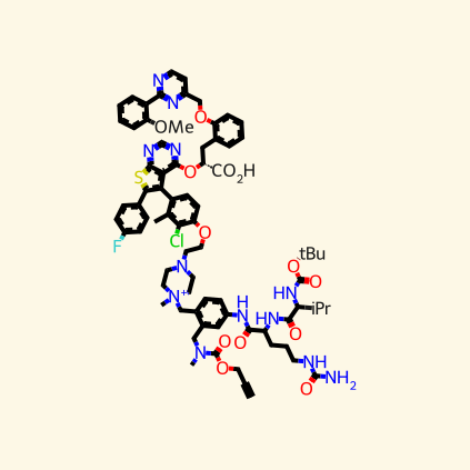 C#CCOC(=O)N(C)Cc1cc(NC(=O)C(CCCNC(N)=O)NC(=O)C(NC(=O)OC(C)(C)C)C(C)C)ccc1C[N+]1(C)CCN(CCOc2ccc(-c3c(-c4ccc(F)cc4)sc4ncnc(O[C@H](Cc5ccccc5OCc5ccnc(-c6ccccc6OC)n5)C(=O)O)c34)c(C)c2Cl)CC1